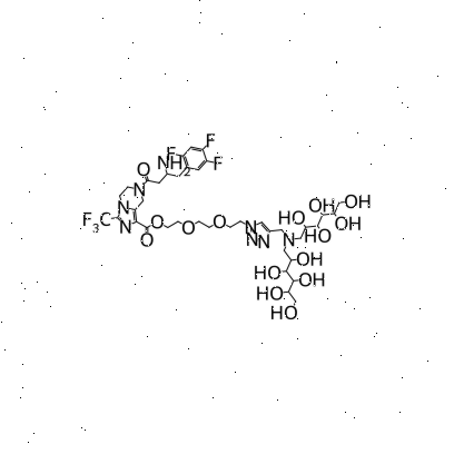 NC(CC(=O)N1CCn2c(C(F)(F)F)nc(C(=O)OCCOCCOCCn3cc(CN(CC(O)C(O)C(O)C(O)CO)CC(O)C(O)C(O)C(O)CO)nn3)c2C1)Cc1cc(F)c(F)cc1F